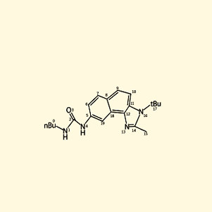 CCCCNC(=O)Nc1ccc2ccc3c(nc(C)n3C(C)(C)C)c2c1